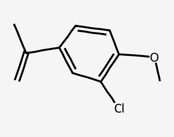 C=C(C)c1ccc(OC)c(Cl)c1